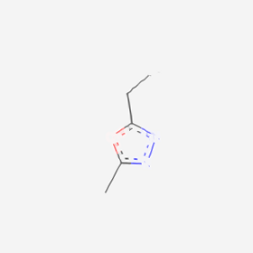 Cc1nnc(CC(C)C)o1